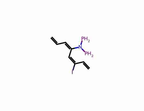 C=C/C=C(\C=C(\I)C=C)N(P)P